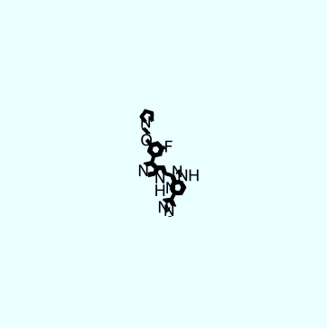 Cn1cc(-c2ccc3[nH]nc(-c4cc5c(-c6cc(F)cc(OCCN7CCCC7)c6)cncc5[nH]4)c3n2)cn1